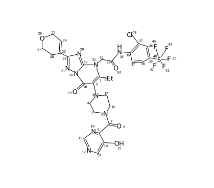 CCc1c(N2CCN(C(=O)c3ncncc3O)CC2)c(=O)n2nc(C3=CCOCC3)nc2n1CC(=O)Nc1ccc(S(F)(F)(F)(F)F)cc1Cl